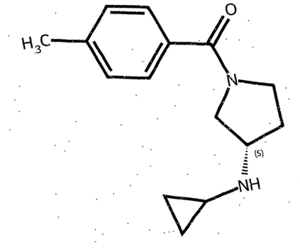 Cc1ccc(C(=O)N2CC[C@H](NC3CC3)C2)cc1